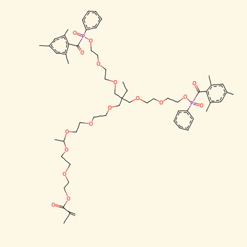 C=C(C)C(=O)OCCOCCOC(C)OCCOCCOCC(CC)(COCCOCCOP(=O)(C(=O)c1c(C)cc(C)cc1C)c1ccccc1)COCCOCCOP(=O)(C(=O)c1c(C)cc(C)cc1C)c1ccccc1